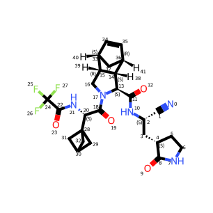 N#C[C@H](C[C@@H]1CCNC1=O)NC(=O)[C@@H]1[C@@H]2[C@H](CN1C(=O)[C@@H](NC(=O)C(F)(F)F)C13CC(C1)C3)[C@@H]1C=C[C@H]2C1